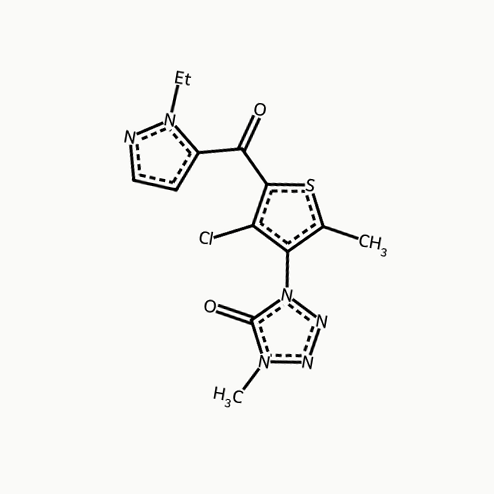 CCn1nccc1C(=O)c1sc(C)c(-n2nnn(C)c2=O)c1Cl